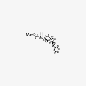 COCCCNCC1CCc2ccc(OCc3ccccc3)cc2O1